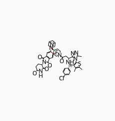 Cc1sc2c(c1C)[C@H](c1ccc(Cl)cc1)NC(CC(=O)N1CCC(CN3C4CC3CN(c3cc5c(cc3F)C(=O)N(C3CCC(=O)NC3=O)C5=O)C4)CC1)c1nnc(C)n1-2